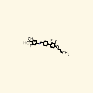 C=CCCOc1ccc(C2CCC(/C=C/c3ccc(C(C)O)c(F)c3)CC2)c(F)c1F